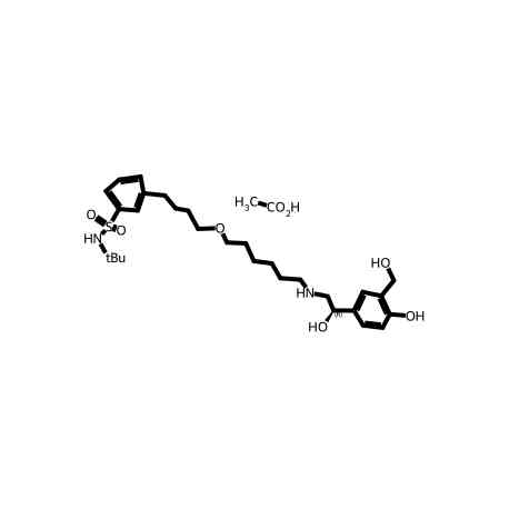 CC(=O)O.CC(C)(C)NS(=O)(=O)c1cccc(CCCCOCCCCCCNC[C@H](O)c2ccc(O)c(CO)c2)c1